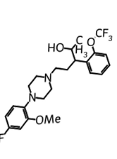 COc1cc(F)ccc1N1CCN(CCC(c2ccccc2OC(F)(F)F)C(C)O)CC1